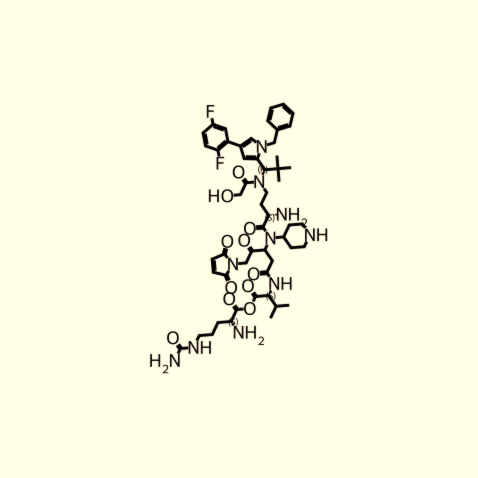 CC(C)[C@H](NC(=O)CC(C(=O)CN1C(=O)C=CC1=O)N(C(=O)[C@@H](N)CCN(C(=O)CO)[C@@H](c1cc(-c2cc(F)ccc2F)cn1Cc1ccccc1)C(C)(C)C)C1CCNCC1)C(=O)OC(=O)[C@@H](N)CCCNC(N)=O